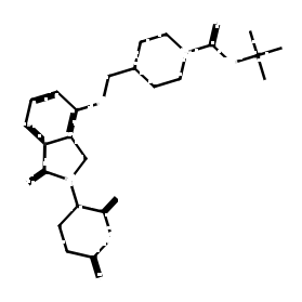 CC(C)(C)OC(=O)N1CCC(COc2cccc3c2CN(C2CCC(=O)NC2=O)C3=O)CC1